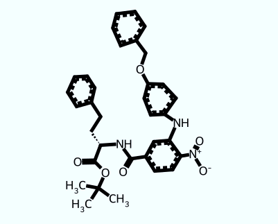 CC(C)(C)OC(=O)[C@H](CCc1ccccc1)NC(=O)c1ccc([N+](=O)[O-])c(Nc2ccc(OCc3ccccc3)cc2)c1